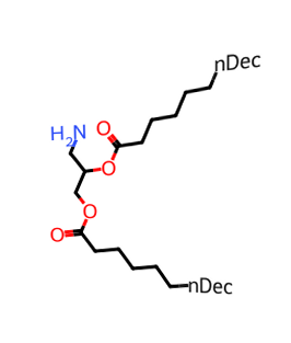 CCCCCCCCCCCCCCCC(=O)OCC(CN)OC(=O)CCCCCCCCCCCCCCC